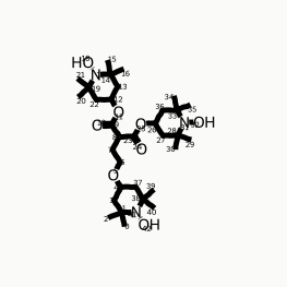 CC1(C)CC(OCCC(C(=O)OC2CC(C)(C)N(O)C(C)(C)C2)C(=O)OC2CC(C)(C)N(O)C(C)(C)C2)CC(C)(C)N1O